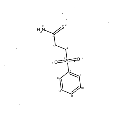 NC(=S)CCS(=O)(=O)c1ccccc1